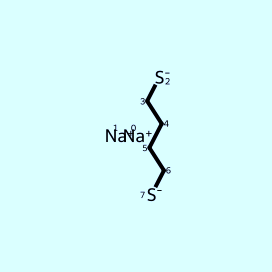 [Na+].[Na+].[S-]CCCC[S-]